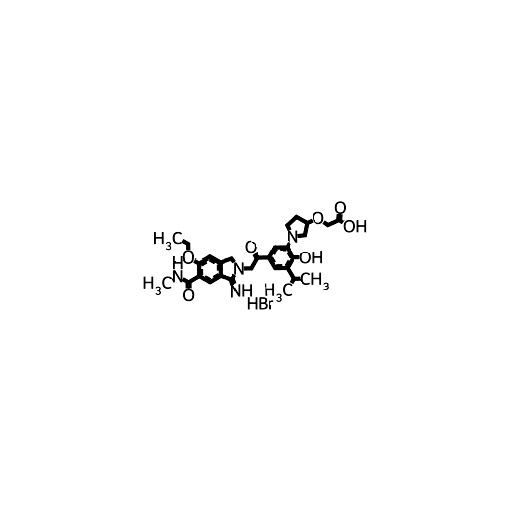 Br.CCOc1cc2c(cc1C(=O)NC)C(=N)N(CC(=O)c1cc(C(C)C)c(O)c(N3CCC(OCC(=O)O)C3)c1)C2